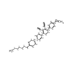 CCCCCCC[C@H]1CC[C@H](c2ccc(-c3ccc(-c4ccc(OC)cc4)c(C#N)c3C#N)cc2)CC1